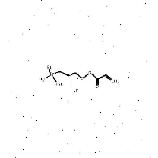 C=CC(=O)OOCCC[N+](C)(C)CC.[I-]